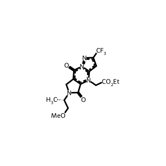 CCOC(=O)Cn1c2c(c(=O)n3nc(C(F)(F)F)cc13)CN([C@@H](C)COC)C2=O